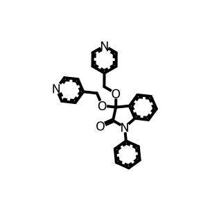 O=C1N(c2ccccc2)c2ccccc2C1(OCc1ccncc1)OCc1ccncc1